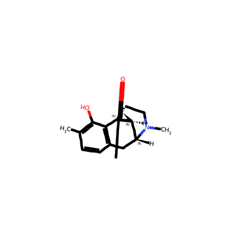 Cc1ccc2c(c1O)[C@]13CCN(C)[C@H](C2)[C@@H]1CCC(=O)C3